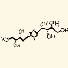 OC[C@H](O)[C@H](O)[C@@H](O)c1cnc(C[C@@H](O)[C@@H](O)CO)cn1